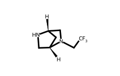 FC(F)(F)CN1C[C@@H]2C[C@H]1CN2